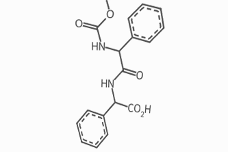 CC(C)(C)OC(=O)NC(C(=O)NC(C(=O)O)c1ccccc1)c1ccccc1